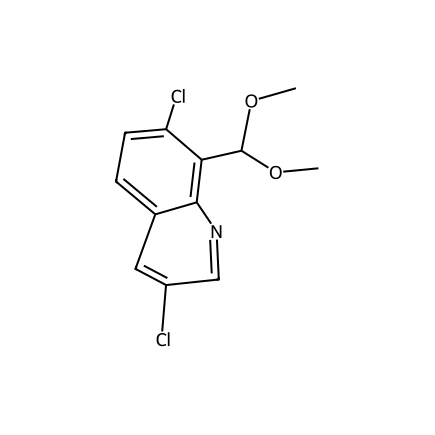 COC(OC)c1c(Cl)ccc2cc(Cl)cnc12